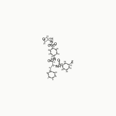 O=C(NC(Cc1ccccc1)C(=O)Nc1ccc(S(=O)(=O)NC2COC2)cc1)c1cccc(F)c1